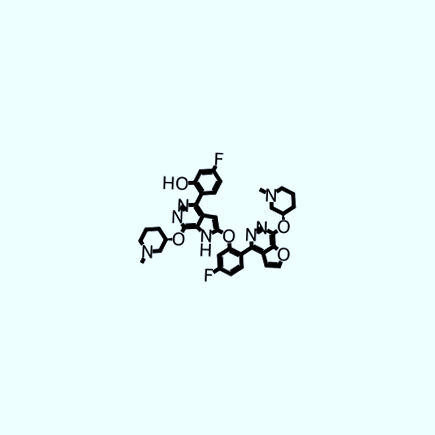 CN1CCC[C@@H](Oc2nnc(-c3ccc(F)cc3O)c3cc(Oc4cc(F)ccc4-c4nnc(O[C@@H]5CCCN(C)C5)c5occc45)[nH]c23)C1